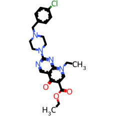 CCOC(=O)c1cn(CC)c2nc(N3CCN(Cc4ccc(Cl)cc4)CC3)ncc2c1=O